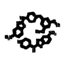 CCOc1cc(CN2CCC(Nc3nc4cc([N+](=O)[O-])ccc4o3)CC2)cc(OCC)c1.O=[N+]([O-])c1ccc2oc(NC3CCNCC3)nc2c1